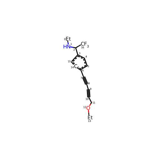 CCNC(c1ccc(C#CC#CCOCC)cc1)C(F)(F)F